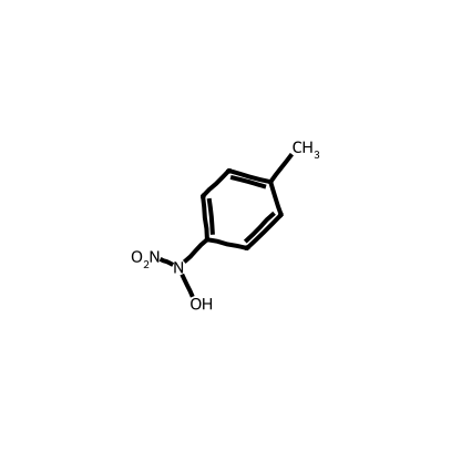 Cc1ccc(N(O)[N+](=O)[O-])cc1